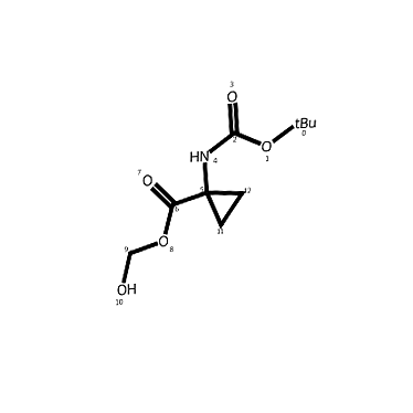 CC(C)(C)OC(=O)NC1(C(=O)OCO)CC1